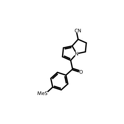 CSc1ccc(C(=O)c2ccc3n2CCC3C#N)cc1